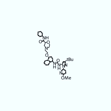 COc1ccc(-n2nc(C(C)(C)C)cc2NC(=O)Nc2ccc(OCCN3CCOC(C(=O)Nc4ccccc4)C3)c3ccccc23)cn1